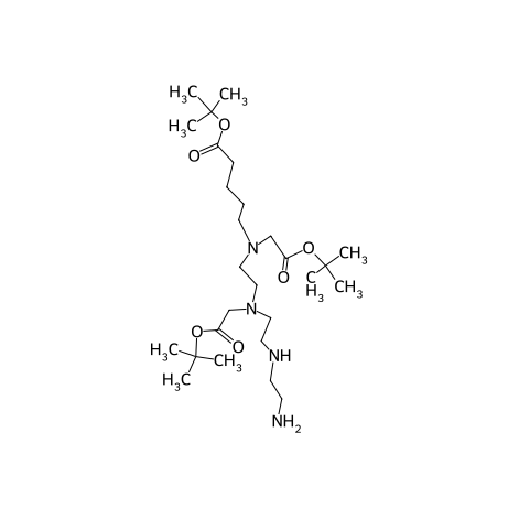 CC(C)(C)OC(=O)CCCCN(CCN(CCNCCN)CC(=O)OC(C)(C)C)CC(=O)OC(C)(C)C